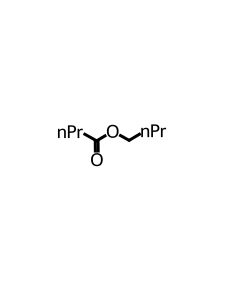 [CH2]CCCOC(=O)CCC